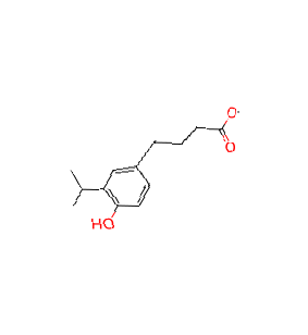 CC(C)c1cc(CCCC([O])=O)ccc1O